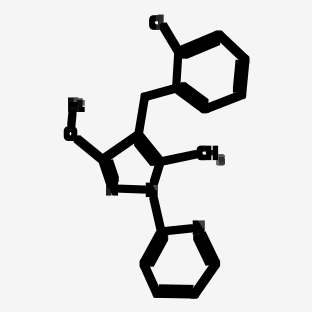 CCOc1nn(-c2ccccn2)c(C)c1Cc1ccccc1Cl